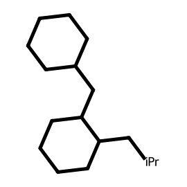 CC(C)CC1CCCCC1CC1CCCCC1